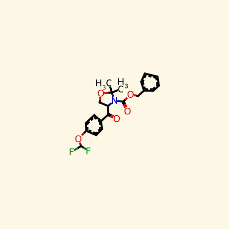 CC1(C)OCC(C(=O)c2ccc(OC(F)F)cc2)N1C(=O)OCc1ccccc1